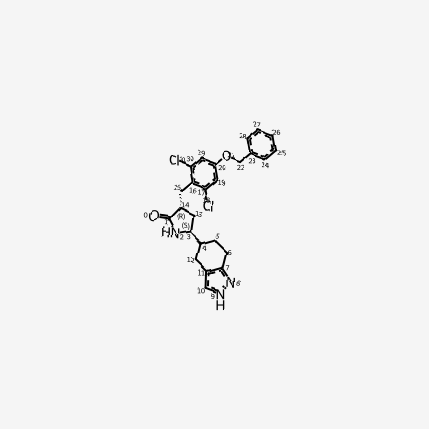 O=C1N[C@H](C2CCc3n[nH]cc3C2)C[C@H]1Cc1c(Cl)cc(OCc2ccccc2)cc1Cl